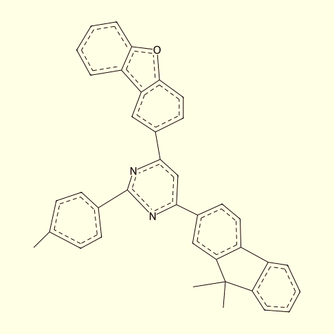 Cc1ccc(-c2nc(-c3ccc4c(c3)C(C)(C)c3ccccc3-4)cc(-c3ccc4oc5ccccc5c4c3)n2)cc1